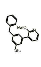 COc1ncccc1-c1cc(Cc2ccccc2)cc(C(C)(C)C)c1